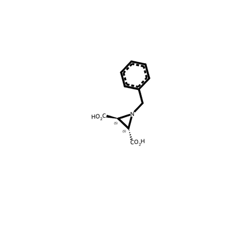 O=C(O)[C@@H]1[C@@H](C(=O)O)N1Cc1ccccc1